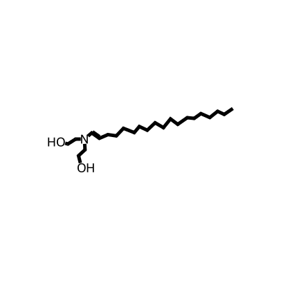 CCCCCCCCCCCCCCCCCC=CN(CCO)CCO